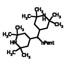 [CH2]CCCC[C](C1CC(C)(C)NC(C)(C)C1)C1CC(C)(C)NC(C)(C)C1